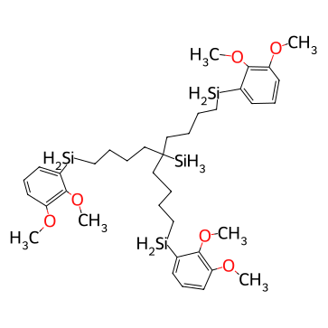 COc1cccc([SiH2]CCCCC([SiH3])(CCCC[SiH2]c2cccc(OC)c2OC)CCCC[SiH2]c2cccc(OC)c2OC)c1OC